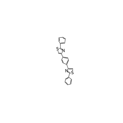 c1ccc(-c2nc(-c3ccc(-c4csc(-c5ccccc5)n4)cc3)cs2)cc1